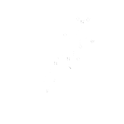 C[C@@H]1CN(C(=O)COc2c(Br)cc([N+](=O)[O-])cc2C=O)[C@@H](C)CN1Cc1ccc(F)cc1